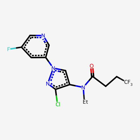 CCN(C(=O)CCC(F)(F)F)c1cn(-c2cncc(F)c2)nc1Cl